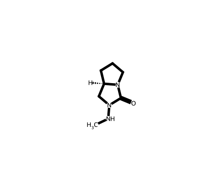 CNN1C[C@H]2CCCN2C1=O